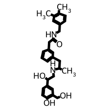 Cc1ccc(CNC(=O)Cc2cccc(CC(C)NCC(O)c3ccc(O)c(CO)c3)c2)cc1C